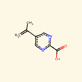 C=C(C)c1cnc(C(=O)O)nc1